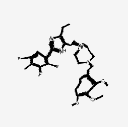 CCc1nc(-c2cc(F)c(C)c(F)c2F)[nH]c1CN1CCN(Cc2ccc(OC)c(OC)c2OC)CC1